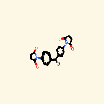 CCC(c1ccc(N2C(=O)C=CC2=O)cc1)c1ccc(N2C(=O)C=CC2=O)cc1